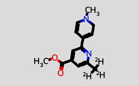 [2H]C([2H])([2H])c1cc(C(=O)OC)cc(C2=CCN(C)C=C2)n1